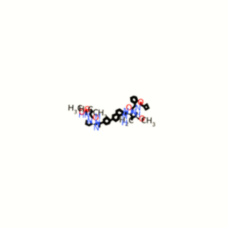 C=C1[C@H](COC)CN(C(=O)[C@H](NC(=O)C2CCC2)c2ccccc2)[C@@H]1c1nc2ccc3cc(-c4ccc(-c5cnc([C@@H]6CCCN6C(=O)[C@@H](NC(=O)OC)C(C)C)[nH]5)cc4)ccc3c2[nH]1